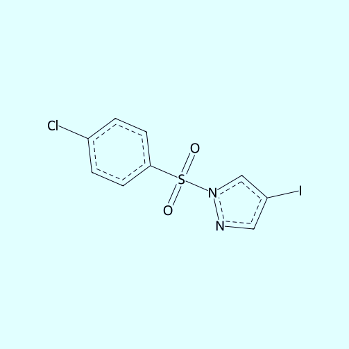 O=S(=O)(c1ccc(Cl)cc1)n1cc(I)cn1